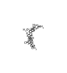 CCc1cc(-c2c(F)ccc(NS(=O)(=O)c3cc(Cl)cc4c3OC[C@H]4OC(C)=O)c2F)cc2cnc(NC3CCC(N)CC3)nc12